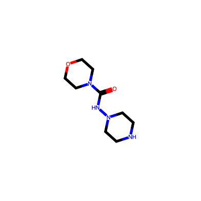 O=C(NN1CCNCC1)N1CCOCC1